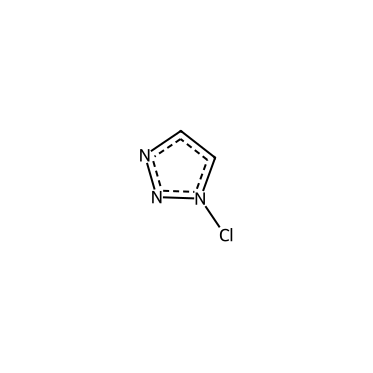 Cln1ccnn1